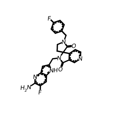 Nc1nc2cc(CN3C(=O)c4cnccc4C34CCN(Cc3ccc(F)cc3)C4=O)[nH]c2cc1F